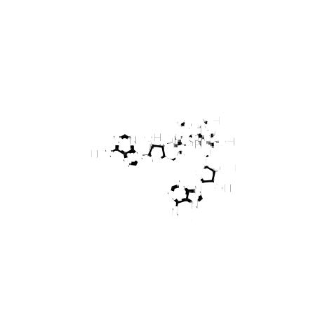 Nc1ncnc2c1ncn2[C@@H]1O[C@H](COP(=O)(O)OP(=O)(O)OP(=O)(O)OP(=O)(O)OC[C@H]2O[C@@H](n3cnc4c(N)ncnc43)[C@H](O)[C@H]2O)[C@H](O)[C@H]1O